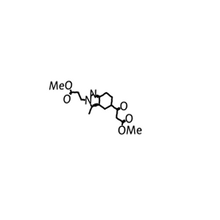 COC(=O)CCn1nc2c(c1C)CC(C(=O)CC(=O)OC)CC2